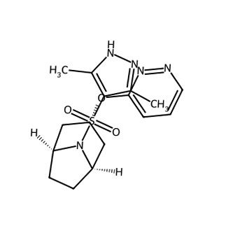 Cc1n[nH]c(C)c1S(=O)(=O)N1[C@@H]2CC[C@H]1C[C@H](Oc1cccnn1)C2